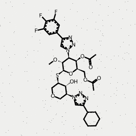 CO[C@@H]1[C@@H](n2cc(-c3cc(F)c(F)c(F)c3)nn2)[C@@H](OC(C)=O)[C@@H](COC(C)=O)O[C@H]1S[C@@H]1COC[C@H](n2cc(C3CCCCC3)nn2)[C@H]1O